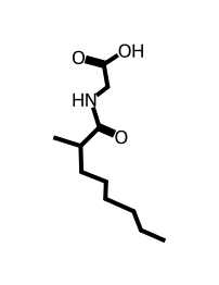 CCCCCCC(C)C(=O)NCC(=O)O